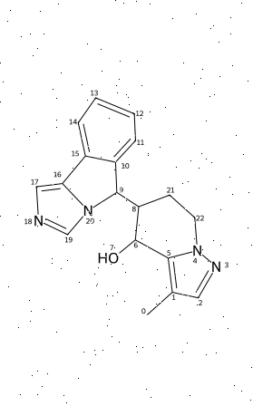 Cc1cnn2c1C(O)C(C1c3ccccc3-c3cncn31)CC2